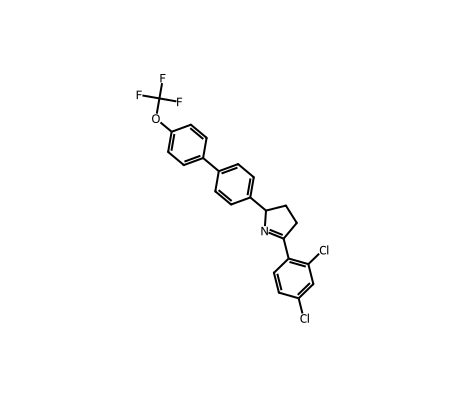 FC(F)(F)Oc1ccc(-c2ccc(C3CCC(c4ccc(Cl)cc4Cl)=N3)cc2)cc1